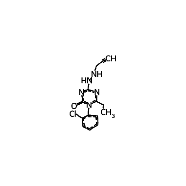 C#CCNNc1nc(CC)n(-c2ccccc2Cl)c(=O)n1